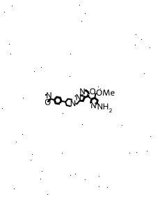 COC(=O)c1cc(N)ncc1-c1ccnc2c1cc(CN1CCC(c3ccc(C(=O)N(C)C)cc3)CC1)n2C